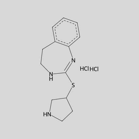 Cl.Cl.c1ccc2c(c1)CCNC(SC1CCNC1)=N2